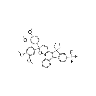 CCC1(CC)c2cc(C(F)(F)F)ccc2-c2c1c1c(c3ccccc23)OC(c2ccc(OC)c(OC)c2)(c2ccc(OC)c(OC)c2)C=C1